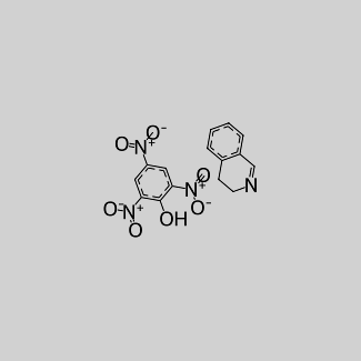 C1=NCCc2ccccc21.O=[N+]([O-])c1cc([N+](=O)[O-])c(O)c([N+](=O)[O-])c1